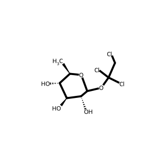 C[C@H]1OC(OC(Cl)(Cl)CCl)[C@H](O)[C@@H](O)[C@@H]1O